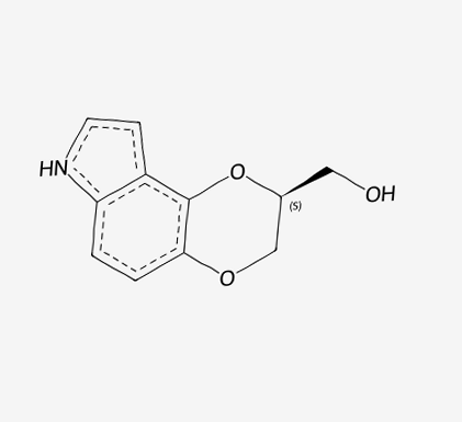 OC[C@H]1COc2ccc3[nH]ccc3c2O1